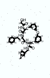 Cn1cc(CNC(=O)[C@@H]2Cc3cccc(c3)Oc3cccc(c3)C[C@H](NC(=O)CO)C(=O)N[C@@H](CCc3ccccc3)C(=O)N2)cn1